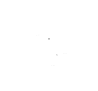 CCC(=O)O[C@H]1[C@H](OC(=O)CC)[C@@H](OC(=O)CC)C(O)O[C@@H]1COC(c1ccccc1)(c1ccccc1)c1ccccc1